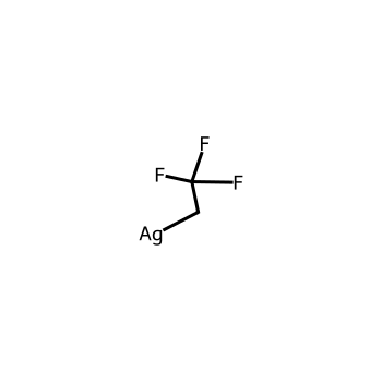 FC(F)(F)[CH2][Ag]